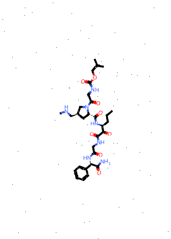 CCCC(NC(=O)[C@@H]1C[C@@H](CNC)CN1C(=O)CNC(=O)OCC(C)C)C(=O)C(=O)NCC(=O)N[C@H](C(N)=O)c1ccccc1